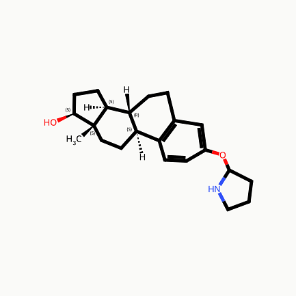 C[C@]12CC[C@@H]3c4ccc(OC5CCCN5)cc4CC[C@H]3[C@@H]1CC[C@@H]2O